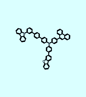 c1cc(-c2ccc(-c3ccc(N(c4ccc(-c5ccc6c(c5)oc5ccccc56)cc4)c4ccc(-c5cc6ccccc6c6ccccc56)cc4)cc3)cc2)cc(-n2c3ccccc3c3ccccc32)c1